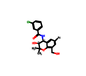 CC(=O)c1cc(CO)c2c(c1)[C@H](NC(=O)c1cccc(Cl)c1)[C@H](O)C(C)(C)O2